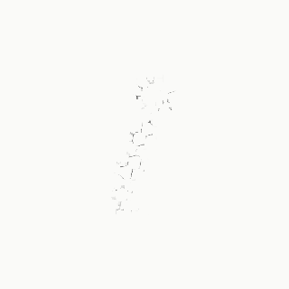 C=C(C)C(=O)OCC(COC(=O)C(=C)CO)c1ccc2cc(-c3ccc4cc(C5CCC(CCCCC)CC5)ccc4c3)ccc2c1